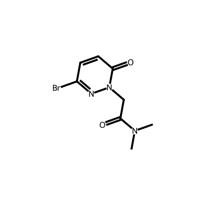 CN(C)C(=O)Cn1nc(Br)ccc1=O